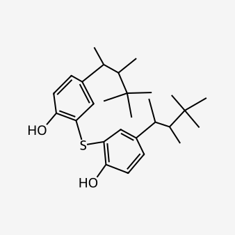 CC(c1ccc(O)c(Sc2cc(C(C)C(C)C(C)(C)C)ccc2O)c1)C(C)C(C)(C)C